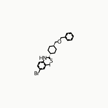 S=C(Nc1ccc(Br)cc1I)[C@H]1CC[C@H](COCc2ccccc2)CC1